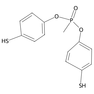 CP(=O)(Oc1ccc(S)cc1)Oc1ccc(S)cc1